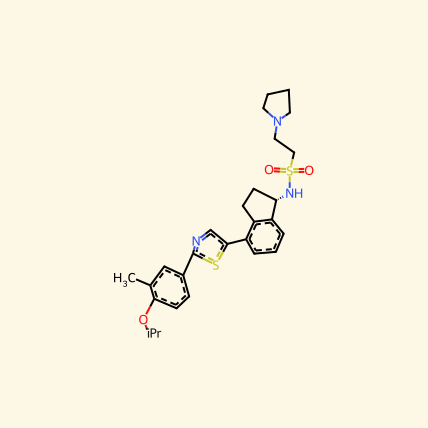 Cc1cc(-c2ncc(-c3cccc4c3CC[C@@H]4NS(=O)(=O)CCN3CCCC3)s2)ccc1OC(C)C